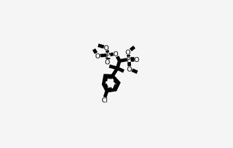 COP(=O)(OC)OC(C(C)(C)c1ccc(Cl)cc1)P(=O)(OC)OC